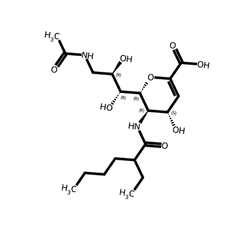 CCCCC(CC)C(=O)N[C@H]1[C@H]([C@H](O)[C@H](O)CNC(C)=O)OC(C(=O)O)=C[C@@H]1O